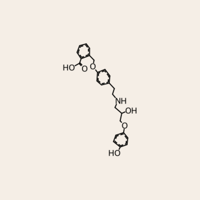 O=C(O)c1ccccc1COc1ccc(CCNCC(O)COc2ccc(O)cc2)cc1